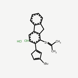 C[C](C)=[Zr][c]1c(C2=CC(C(C)(C)C)=CC2)ccc2c1Cc1ccccc1-2.Cl.Cl